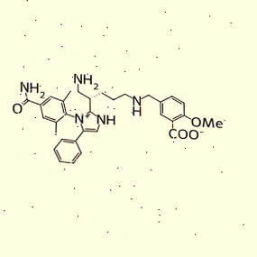 COc1ccc(CNCCC[C@@H](CN)c2[nH]cc(-c3ccccc3)[n+]2-c2c(C)cc(C(N)=O)cc2C)cc1C(=O)[O-]